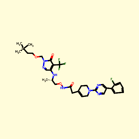 C[C@@H](CONC(=O)CC1=CCN(c2ncc(-c3ccccc3F)cn2)CC1)Nc1cnn(COCC[Si](C)(C)C)c(=O)c1C(F)(F)F